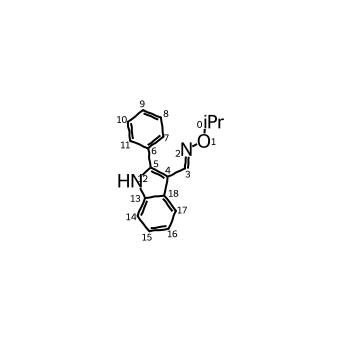 CC(C)O/N=C/c1c(-c2ccccc2)[nH]c2ccccc12